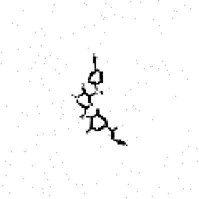 C/C(=C\C#N)c1cc(C)c(Nc2nc(Nc3ccc(C#N)cc3)c(=O)n(C)n2)c(C)c1